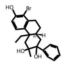 CCC12CC(C)(O)C(O)(c3ccccc3)C[C@H]1CCc1c2ccc(O)c1Br